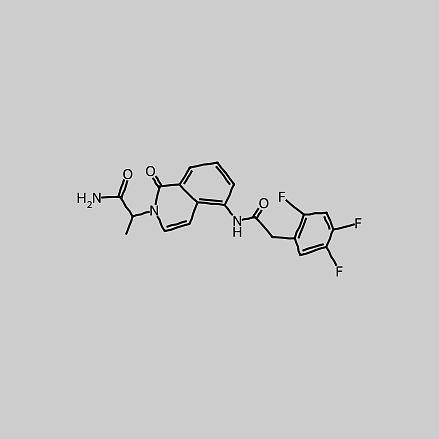 CC(C(N)=O)n1ccc2c(NC(=O)Cc3cc(F)c(F)cc3F)cccc2c1=O